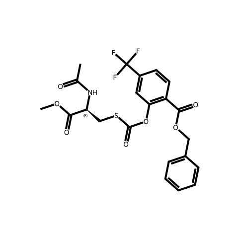 COC(=O)[C@H](CSC(=O)Oc1cc(C(F)(F)F)ccc1C(=O)OCc1ccccc1)NC(C)=O